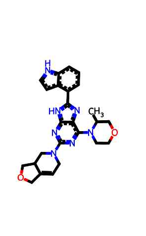 CC1COCCN1c1nc(N2CC=C3COCC3C2)nc2[nH]c(-c3cccc4[nH]ccc34)nc12